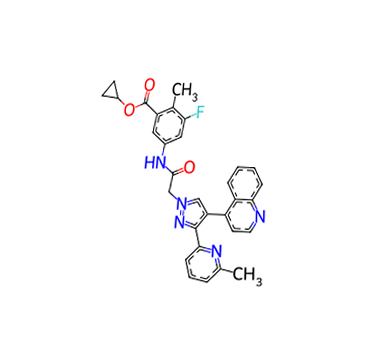 Cc1cccc(-c2nn(CC(=O)Nc3cc(F)c(C)c(C(=O)OC4CC4)c3)cc2-c2ccnc3ccccc23)n1